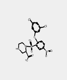 O=C(O)C1CNCCN1S(=O)(=O)c1cc([N+](=O)[O-])ccc1Oc1cc(Cl)cc(Cl)c1